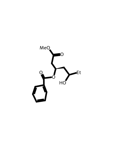 CCC(O)C[C@H](CC(=O)OC)OC(=O)c1ccccc1